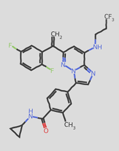 C=C(c1cc(NCCC(F)(F)F)c2ncc(-c3ccc(C(=O)NC4CC4)c(C)c3)n2n1)c1cc(F)ccc1F